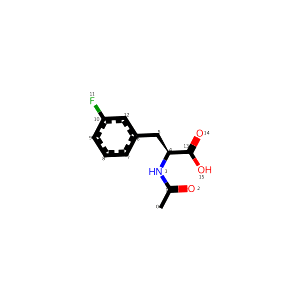 CC(=O)N[C@@H](Cc1cccc(F)c1)C(=O)O